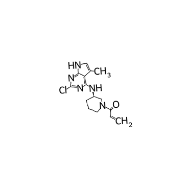 C=CC(=O)N1CCC[C@@H](Nc2nc(Cl)nc3[nH]cc(C)c23)C1